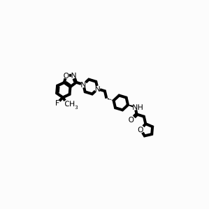 CC1(F)C=Cc2onc(N3CCN(CC[C@H]4CC[C@H](NC(=O)CC5CCCO5)CC4)CC3)c2C1